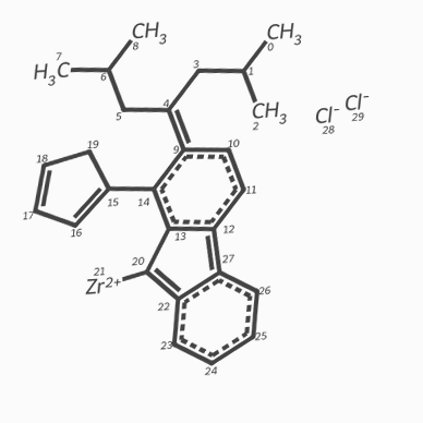 CC(C)CC(CC(C)C)=c1ccc2c(c1C1=CC=CC1)[C]([Zr+2])=c1ccccc1=2.[Cl-].[Cl-]